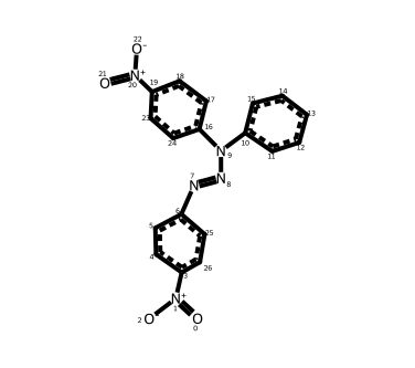 O=[N+]([O-])c1ccc(N=NN(c2ccccc2)c2ccc([N+](=O)[O-])cc2)cc1